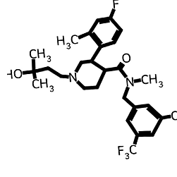 Cc1cc(F)ccc1C1CN(CCC(C)(C)O)CCC1C(=O)N(C)Cc1cc(C(F)(F)F)cc(C(F)(F)F)c1